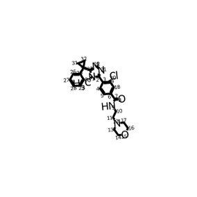 Cn1c(-c2ccc(C(=O)NCCN3CCOCC3)cc2Cl)nnc1C1(c2ccccc2)CC1